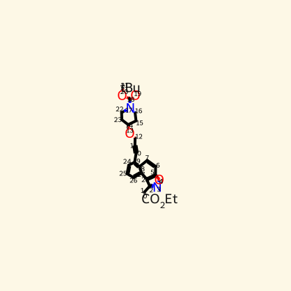 CCOC(=O)Cc1noc2ccc3c(C#CCOC4CCN(C(=O)OC(C)(C)C)CC4)cccc3c12